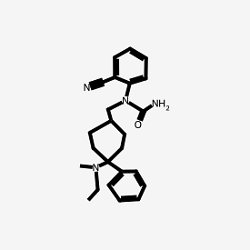 CCN(C)C1(c2ccccc2)CCC(CN(C(N)=O)c2ccccc2C#N)CC1